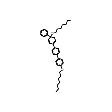 CCCCCCCOc1ccc(-c2ccc(C3=CCC(OCCCCCCC)(c4ccccc4)C=C3)cc2)cc1